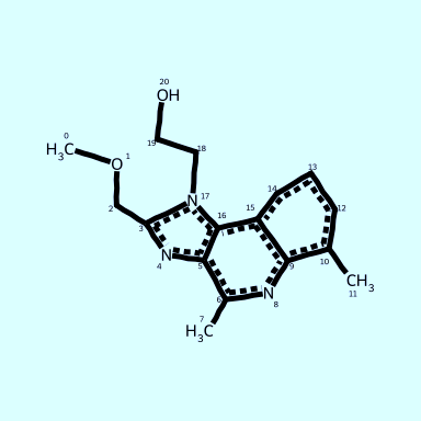 COCc1nc2c(C)nc3c(C)cccc3c2n1CCO